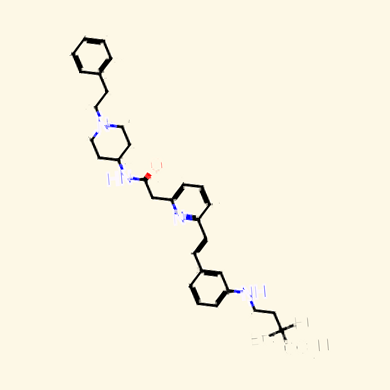 CCC(CC)(CCNc1cccc(C=Cc2cccc(CC(=O)NC3CCN(CCc4ccccc4)CC3)n2)c1)C(=O)O